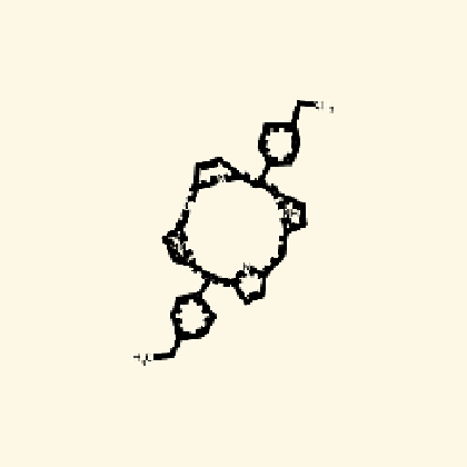 CCc1ccc(-c2c3nc(cc4ccc([nH]4)c(-c4ccc(CC)cc4)c4nc(cc5ccc2[nH]5)C=C4)C=C3)cc1